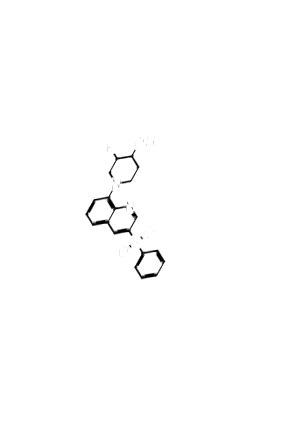 O=S(=O)(c1ccccc1)c1cnc2c(N3CCC(O)C(F)C3)cccc2c1